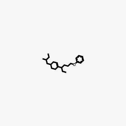 CCC(C)CC1CC=C(C(CC)CCCOc2ccccc2)CC1